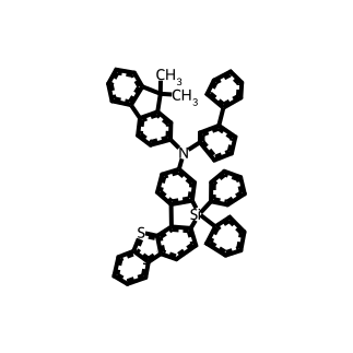 CC1(C)c2ccccc2-c2ccc(N(c3cccc(-c4ccccc4)c3)c3ccc4c(c3)[Si](c3ccccc3)(c3ccccc3)c3ccc5c(sc6ccccc65)c3-4)cc21